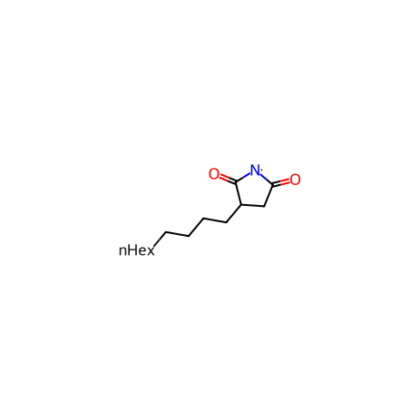 CCCCCCCCCCC1CC(=O)[N]C1=O